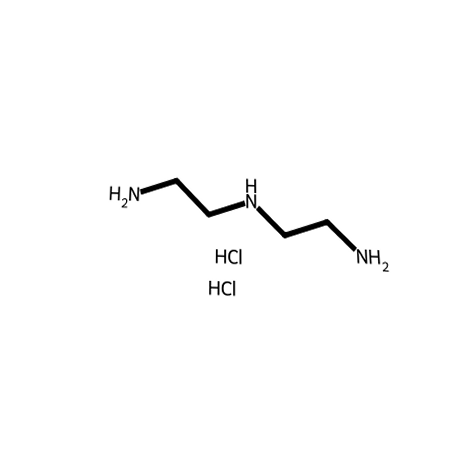 Cl.Cl.NCCNCCN